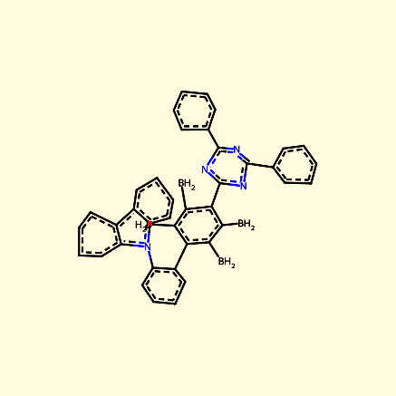 Bc1c(B)c(-c2ccccc2-n2c3ccccc3c3ccccc32)c(B)c(B)c1-c1nc(-c2ccccc2)nc(-c2ccccc2)n1